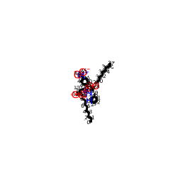 CCCCCCCCCOC(=O)[C@H](C)CP(=O)(N[C@@H](Cc1ccccc1)C(=O)OCCCCCCCCC)Oc1ccc([N+](=O)[O-])cc1